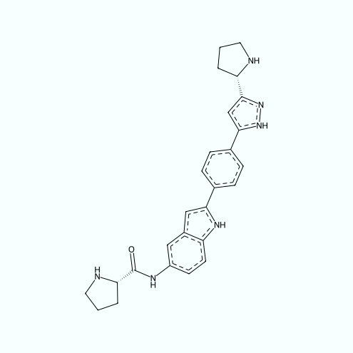 O=C(Nc1ccc2[nH]c(-c3ccc(-c4cc([C@@H]5CCCN5)n[nH]4)cc3)cc2c1)[C@@H]1CCCN1